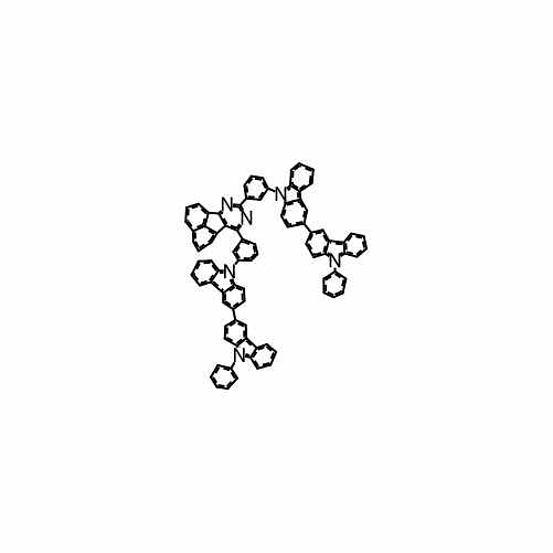 c1ccc(-n2c3ccccc3c3cc(-c4ccc5c(c4)c4ccccc4n5-c4cccc(-c5nc(-c6cccc(-n7c8ccccc8c8cc(-c9ccc%10c(c9)c9ccccc9n%10-c9ccccc9)ccc87)c6)c6c(n5)-c5cccc7cccc-6c57)c4)ccc32)cc1